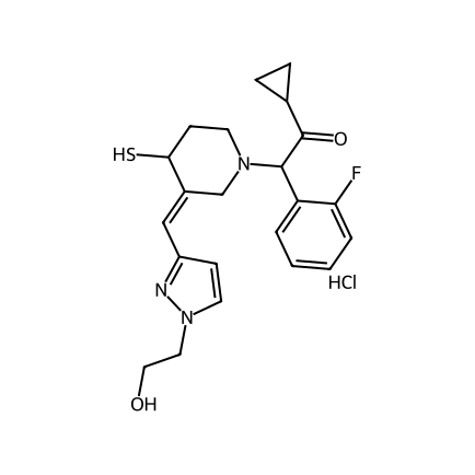 Cl.O=C(C1CC1)C(c1ccccc1F)N1CCC(S)C(=Cc2ccn(CCO)n2)C1